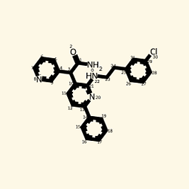 NC(=O)C(c1cccnc1)c1ccc(-c2ccccc2)nc1NCCc1cccc(Cl)c1